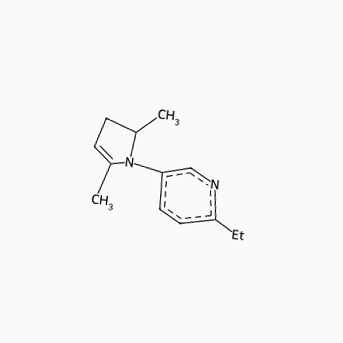 CCc1ccc(N2C(C)=CCC2C)cn1